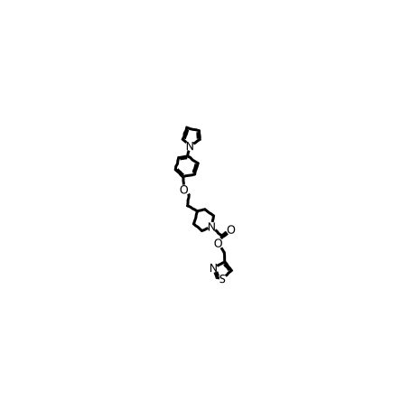 O=C(OCc1cscn1)N1CCC(CCOc2ccc(-n3cccc3)cc2)CC1